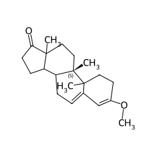 COC1=CC2=CCC3C4CCC(=O)C4(C)CC[C@]3(C)C2(C)CC1